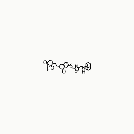 O=C1CCC(CCC2CC(=O)c3cc(SCc4nc(CNC56CC7CC(CC(C7)C5)C6)cs4)ccc3C2)C(=O)N1